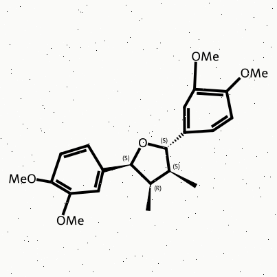 COc1ccc([C@H]2O[C@H](c3ccc(OC)c(OC)c3)[C@@H](C)[C@H]2C)cc1OC